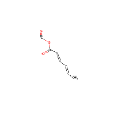 C/C=C/C=C/C(=O)OC=O